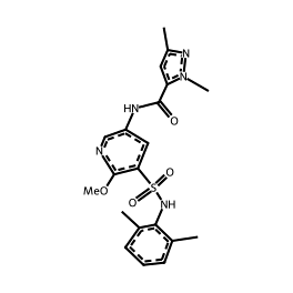 COc1ncc(NC(=O)c2cc(C)nn2C)cc1S(=O)(=O)Nc1c(C)cccc1C